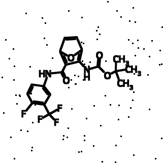 CC(C)(C)OC(=O)Nc1c(C(=O)Nc2ccc(F)c(C(F)(F)F)c2)c2ccc1o2